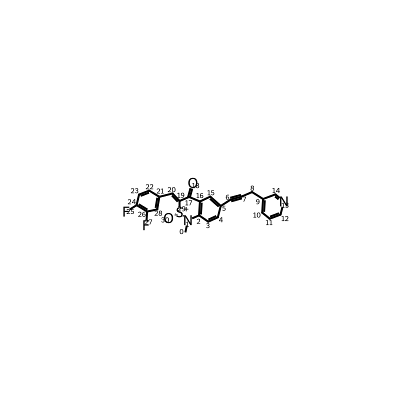 CN1c2ccc(C#CCc3cccnc3)cc2C(=O)/C(=C/c2ccc(F)c(F)c2)[S+]1[O-]